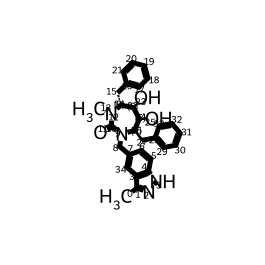 Cc1n[nH]c2ccc(CN3C(=O)N(C)[C@H](Cc4ccccc4)[C@H](O)[C@@H](O)[C@H]3Cc3ccccc3)cc12